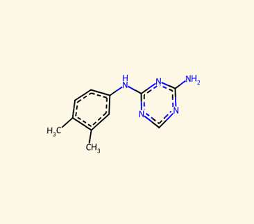 Cc1ccc(Nc2ncnc(N)n2)cc1C